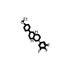 CCOC1CCC(C2CC[C@@H]3C[C@H](c4cc(F)c(F)c(F)c4)CC[C@@H]3C2)CC1